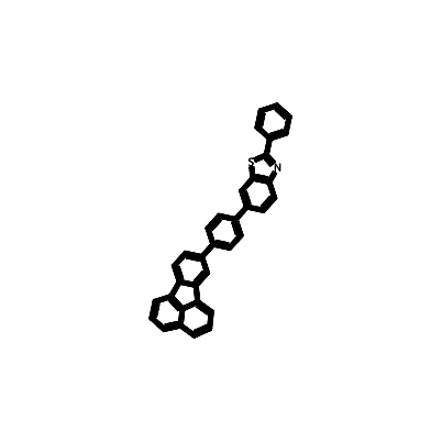 c1ccc(-c2nc3ccc(-c4ccc(-c5ccc6c(c5)-c5cccc7cccc-6c57)cc4)cc3s2)cc1